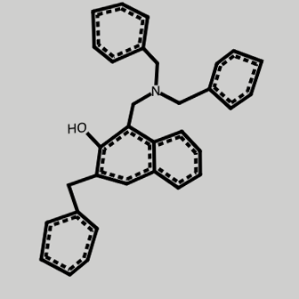 Oc1c(Cc2ccccc2)cc2ccccc2c1CN(Cc1ccccc1)Cc1ccccc1